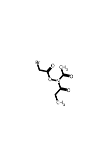 CCC(=O)N(OC(=O)CBr)C(C)=O